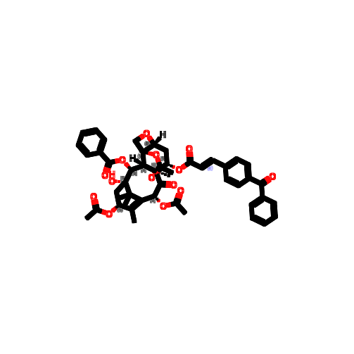 CC(=O)O[C@H]1C(=O)[C@]2(C)[C@@H](OC(=O)/C=C/c3ccc(C(=O)c4ccccc4)cc3)C[C@H]3OC[C@@]3(OC(C)=O)[C@H]2[C@H](OC(=O)c2ccccc2)[C@]2(O)C[C@H](OC(C)=O)C(C)=C1C2(C)C